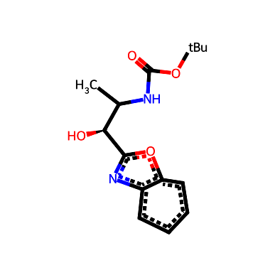 CC(NC(=O)OC(C)(C)C)[C@H](O)c1nc2ccccc2o1